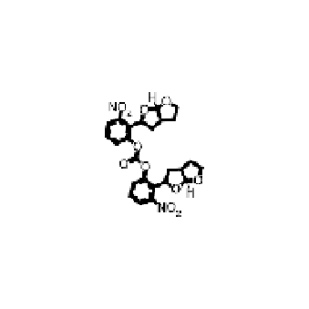 O=C(Oc1cccc([N+](=O)[O-])c1C1CC2CCO[C@H]2O1)Oc1cccc([N+](=O)[O-])c1C1CC2CCO[C@H]2O1